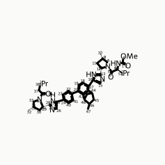 COC(=O)N[C@H](C(=O)N1C[C@@H](C)C[C@H]1c1ncc(-c2ccc(-c3ccc(-c4cnc([C@@H]5C[C@H](C)CN5C(=O)CC(C)C)[nH]4)cc3)c3c2C2CC(C)C3C2)[nH]1)C(C)C